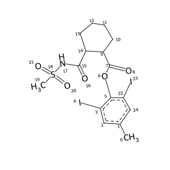 Cc1cc(I)c(OC(=O)C2CCCCC2C(=O)NS(C)(=O)=O)c(I)c1